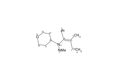 C=C/C(C)=C(/C(C)C)N(NC)C1CCOCC1